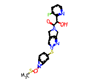 CSON1c2ccc(Sn3cc4c(n3)CN(C(=O)C(O)c3ncccc3F)C4)cc21